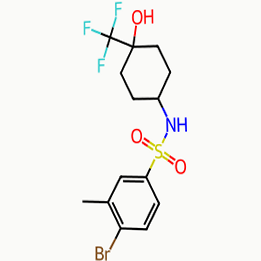 Cc1cc(S(=O)(=O)NC2CCC(O)(C(F)(F)F)CC2)ccc1Br